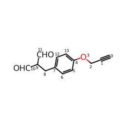 C#CCOc1ccc(CC(C=O)C=O)cc1